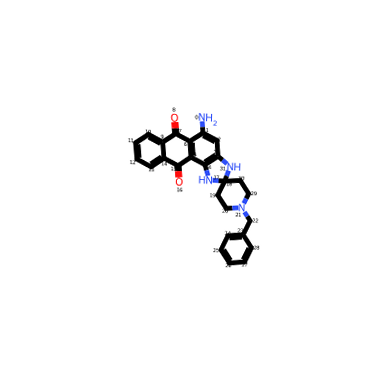 Nc1cc2c(c3c1C(=O)c1ccccc1C3=O)NC1(CCN(Cc3ccccc3)CC1)N2